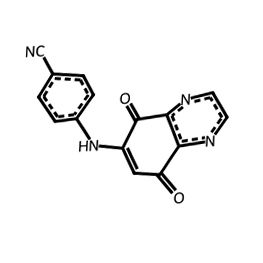 N#Cc1ccc(NC2=CC(=O)c3nccnc3C2=O)cc1